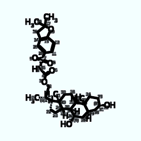 C[C@H](COC(=O)NS(=O)(=O)c1ccc2c(c1)CC(C)(C)O2)[C@H]1CC[C@H]2[C@@H]3[C@H](O)C[C@@H]4C[C@H](O)CC[C@]4(C)[C@H]3CC[C@]12C